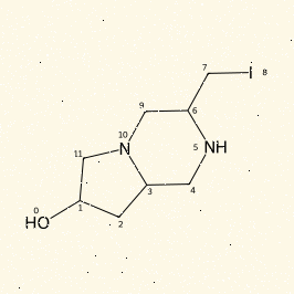 OC1CC2CNC(CI)CN2C1